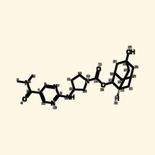 CN(C)C(=O)c1cnc(NC2CCN(C(=O)OC3C4CC5C[C@@H]3CC(O)(C5)C4)C2)nc1